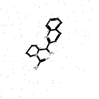 NC(c1ccc2ccccc2n1)C1CCCCN1C(=O)O